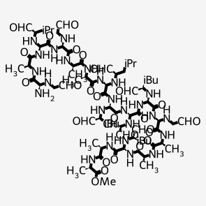 CC[C@@H](C)[C@H](C=O)N[C@H](NC(=O)[C@@H](NC(=O)[C@@H](NC(=O)[C@@H](NC(=O)[C@H](C)NC(=O)[C@H](C)NC(=O)[C@H](NCC=O)NC(=O)[C@@H](NC(=O)[C@H](C)NC(=O)[C@@H](N)NCC=O)N[C@@H](C=O)C(C)C)N[C@@H](C=O)CC(C)C)N[C@@H](C)C=O)N[C@@H](C=O)[C@H](C)CC)C(=O)N[C@@H](NCC=O)C(=O)N[C@@H](C)C(=O)N[C@@H](C)C(=O)N[C@@H](N[C@@H](C=O)[C@H](C)CC)C(=O)N[C@@H](C)C(=O)N[C@@H](C)C(=O)OC